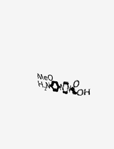 COc1cc(N2CCN(C(=O)CO)CC2)ccc1N